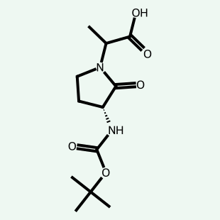 CC(C(=O)O)N1CC[C@@H](NC(=O)OC(C)(C)C)C1=O